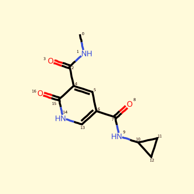 CNC(=O)c1cc(C(=O)NC2CC2)c[nH]c1=O